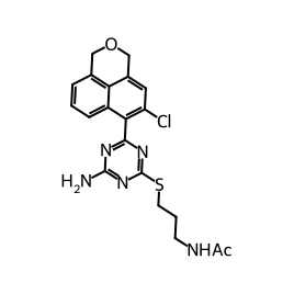 CC(=O)NCCCSc1nc(N)nc(-c2c(Cl)cc3c4c(cccc24)COC3)n1